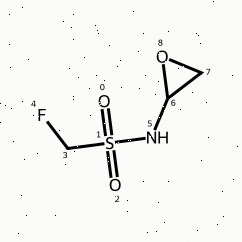 O=S(=O)(CF)NC1CO1